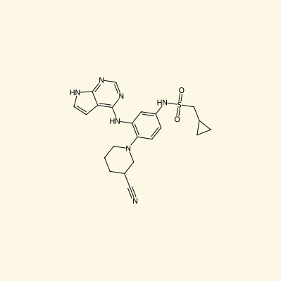 N#CC1CCCN(c2ccc(NS(=O)(=O)CC3CC3)cc2Nc2ncnc3[nH]ccc23)C1